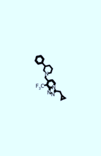 FC(F)(F)c1c(CN2CCCC(c3ccccc3)C2)ccn2c(CC3CC3)nnc12